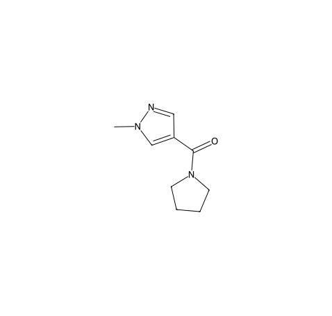 Cn1cc(C(=O)N2CCCC2)cn1